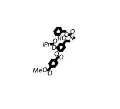 COC(=O)c1ccc(C(=O)Oc2ccc(C(O)CN(C)C(=O)OCc3ccccc3)cc2OC(=O)C(C)C)cc1